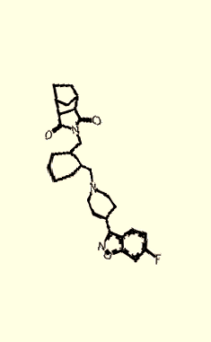 O=C1C2C3CCC(C3)C2C(=O)N1CC1CCCCC1CN1CCC(c2noc3cc(F)ccc23)CC1